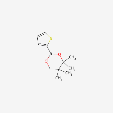 CC1(C)COB(c2cccs2)OC1(C)C